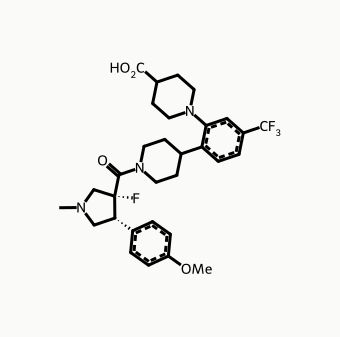 COc1ccc([C@@H]2CN(C)C[C@@]2(F)C(=O)N2CCC(c3ccc(C(F)(F)F)cc3N3CCC(C(=O)O)CC3)CC2)cc1